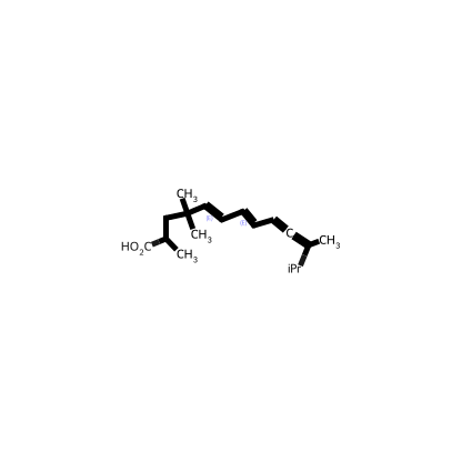 CC(=C=C/C=C/C=C/C(C)(C)CC(C)C(=O)O)C(C)C